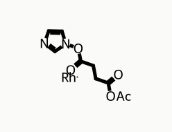 CC(=O)OC(=O)CCC(=O)On1ccnc1.[Rh]